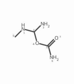 CNC(N)OC(N)=O